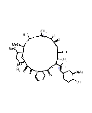 CCC1/C=C(/C)CC(C)CC(OC)C2OC(O)(C(=O)C(=O)N3C=CCCC3C(=O)OC(/C(C)=C/C3CCC(O)C(OC)C3)C(C)C(O)CC1=O)C(C)CC2OC